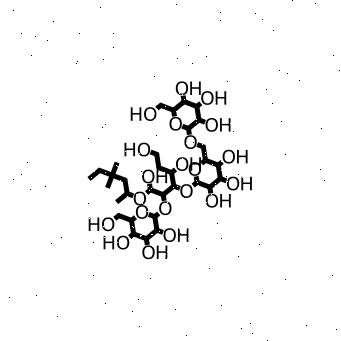 CCC(C)(C)CC(C)OC(O)C(OC1OC(CO)C(O)C(O)C1O)C(OC1OC(COC2OC(CO)C(O)C(O)C2O)C(O)C(O)C1O)C(O)CCO